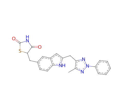 Cc1nn(-c2ccccc2)nc1Cc1cc2cc(CC3SC(=O)NC3=O)ccc2[nH]1